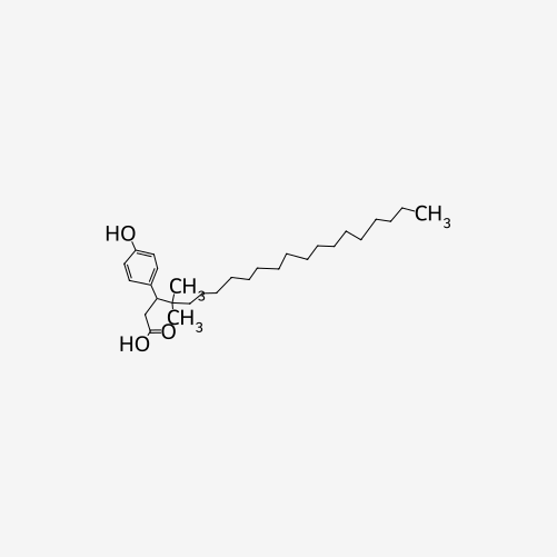 CCCCCCCCCCCCCCCCCC(C)(C)C(CC(=O)O)c1ccc(O)cc1